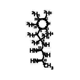 [2H]c1cc([2H])c(C([2H])C([2H])([2H])NC(=N)NC(C)=N)c([2H])c1[2H]